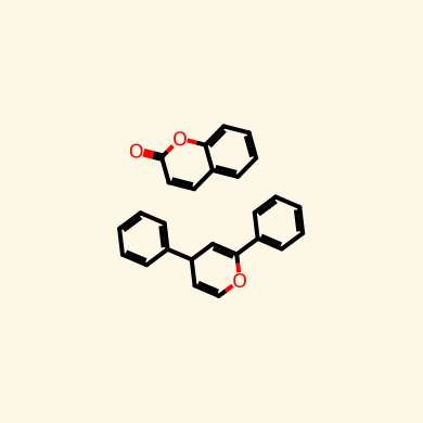 C1=CC(c2ccccc2)C=C(c2ccccc2)O1.O=c1ccc2ccccc2o1